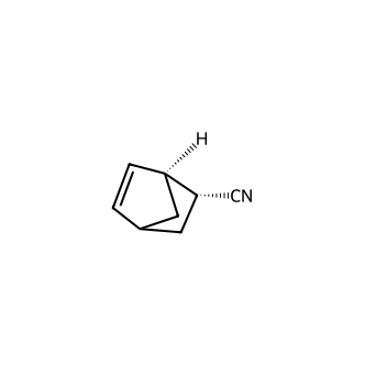 N#C[C@@H]1CC2C=C[C@@H]1C2